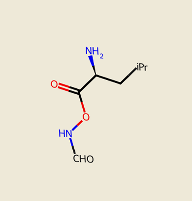 CC(C)C[C@H](N)C(=O)ONC=O